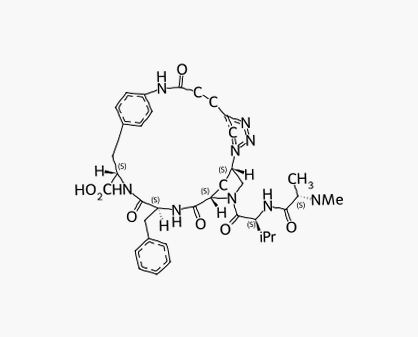 CN[C@@H](C)C(=O)N[C@H](C(=O)N1C[C@@H]2C[C@H]1C(=O)N[C@@H](Cc1ccccc1)C(=O)N[C@H](C(=O)O)Cc1ccc(cc1)NC(=O)CCc1cn2nn1)C(C)C